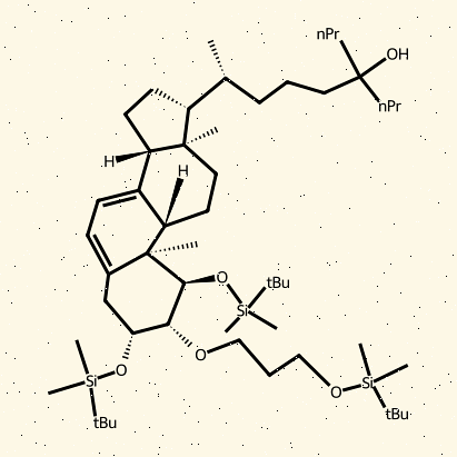 CCCC(O)(CCC)CCC[C@@H](C)[C@H]1CC[C@H]2C3=CC=C4C[C@@H](O[Si](C)(C)C(C)(C)C)[C@@H](OCCCO[Si](C)(C)C(C)(C)C)[C@H](O[Si](C)(C)C(C)(C)C)[C@]4(C)[C@H]3CC[C@]12C